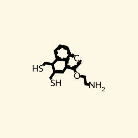 NCCOc1ccc2cccc3c2c1C=C(CS)C3CS